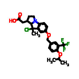 CC(C)Oc1ccc(COc2ccc3c(c2)C(C)(Cl)C2C(CC(=O)O)CCN32)cc1C(F)(F)F